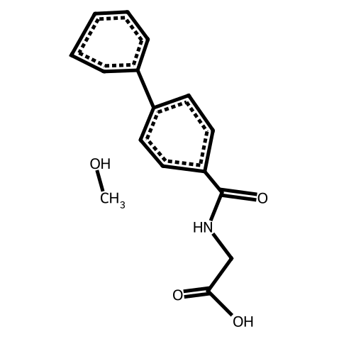 CO.O=C(O)CNC(=O)c1ccc(-c2ccccc2)cc1